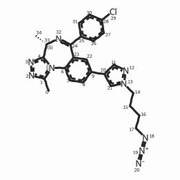 Cc1nnc2n1-c1ccc(-c3cnn(CCCCN=[N+]=[N-])c3)cc1C(c1ccc(Cl)cc1)=N[C@H]2C